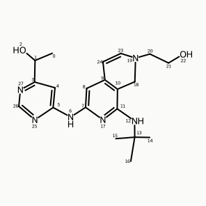 CC(O)c1cc(Nc2cc3c(c(NC(C)(C)C)n2)CN(CCO)C=C3)ncn1